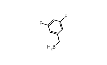 BCc1cc(F)cc(F)c1